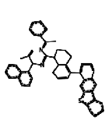 C=C(C)C(/N=C(\N=C(/C)c1ccccc1)C1CCCC2=C(C3=C=C=Cc4cc5c(cc43)sc3ccccc35)C=CCC21)c1cccc2ccccc12